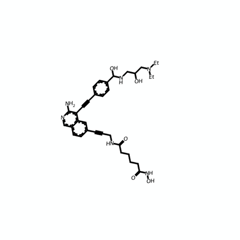 CCN(CC)CC(O)CNC(O)c1ccc(C#Cc2c(N)ncc3ccc(C#CCNC(=O)CCCCC(=O)NO)cc23)cc1